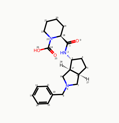 O=C(N[C@@H]1CC[C@H]2CN(Cc3ccccc3)C[C@H]21)[C@@H]1CCCCN1C(=O)O